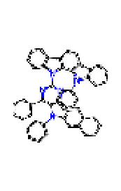 c1ccc(-c2nc(-n3c4ccccc4c4ccc5c6ccccc6n(-c6ccccc6)c5c43)nc3c4cc5ccccc5cc4n(-c4ccccc4)c23)cc1